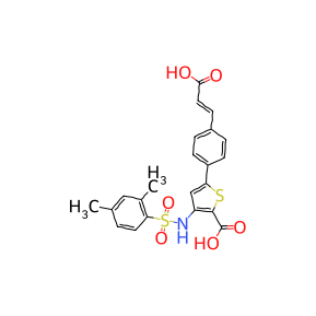 Cc1ccc(S(=O)(=O)Nc2cc(-c3ccc(/C=C/C(=O)O)cc3)sc2C(=O)O)c(C)c1